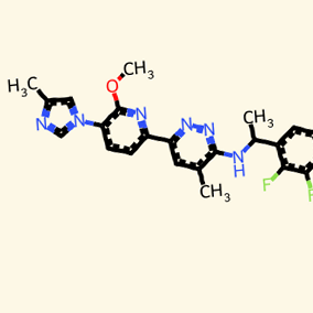 COc1nc(-c2cc(C)c(NC(C)c3cccc(F)c3F)nn2)ccc1-n1cnc(C)c1